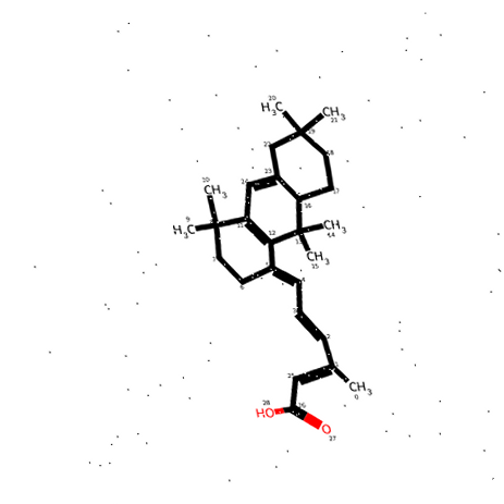 CC(C=CC=C1CCC(C)(C)C2=C1C(C)(C)C1CCC(C)(C)CC1=C2)=CC(=O)O